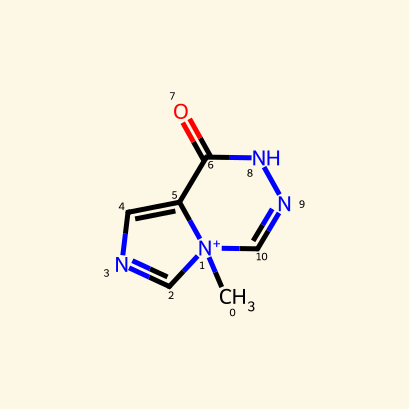 C[N+]12C=NC=C1C(=O)NN=C2